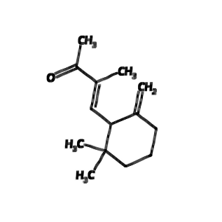 C=C1CCCC(C)(C)C1C=C(C)C(C)=O